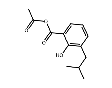 CC(=O)OC(=O)c1cccc(CC(C)C)c1O